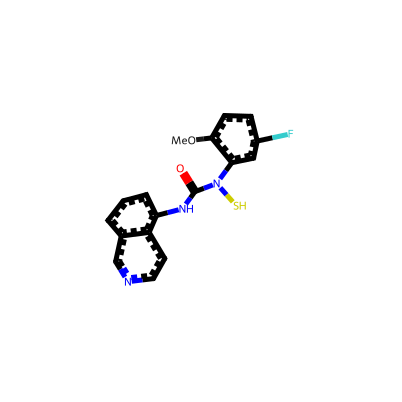 COc1ccc(F)cc1N(S)C(=O)Nc1cccc2cnccc12